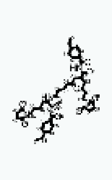 CCc1ccc(C(=O)NC(=O)C(CCCCN2C(=O)C=CC2=O)CC(=O)CCCC(=O)NC(CCCCN2C(=O)C=CC2=O)C(=O)NC(=O)c2ccc(CC)cc2)cc1